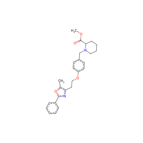 COC(=O)C1CCCCN1Cc1ccc(OCCc2nc(-c3ccccc3)oc2C)cc1